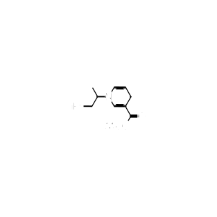 COC(=O)C1=CN(C(C)CC(C)C)C=CC1